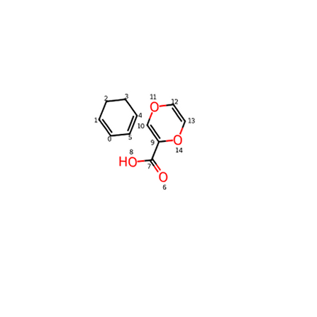 C1=CCCC=C1.O=C(O)C1=COC=CO1